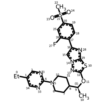 CCc1cnc(N2CCC([C@H](C)Oc3nn4cc(-c5ccc(S(C)(=O)=O)cc5F)nc4s3)CC2)nc1